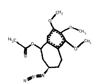 COc1cc2c(c(OC)c1OC)CC[C@@H](N=[N+]=[N-])CC2OC(C)=O